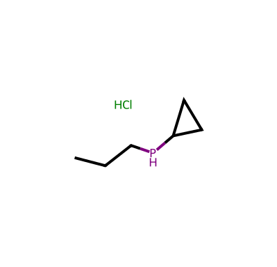 CCCPC1CC1.Cl